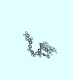 Cc1cc(F)c(Nc2nc(-c3ccc4c(c3)N([C@H]3C[C@@H](N5CCCCC5)C3)C(=O)C43CCN(C(=O)c4ccc(C(=O)N5CCN(c6ccc7c(c6)C(=O)N(C6CCC(=O)NC6=O)C7=O)CC5)cc4Cl)CC3)cc3ncn(C(C)C)c23)cc1C(=O)NC(C)C